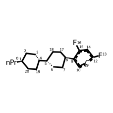 CCC[C@H]1CC[C@H]([C@H]2CC[C@H](c3ccc(F)cc3F)CC2)CC1